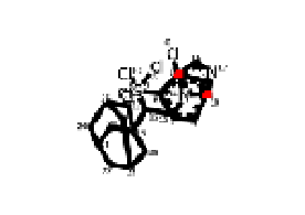 Clc1ccccc1S(Cl)(Cl)(Cl)(Cl)C(Cn1ccnc1)C12CC3CC(CC(C3)C1)C2